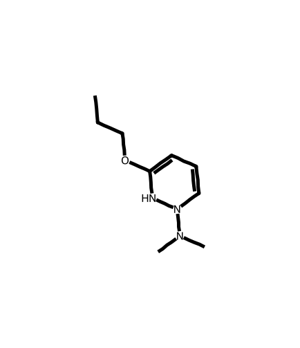 CCCOC1=CC=CN(N(C)C)N1